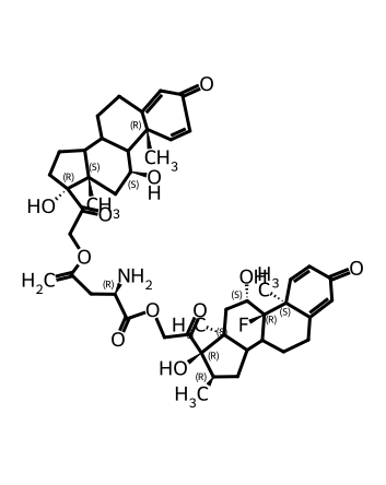 C=C(C[C@@H](N)C(=O)OCC(=O)[C@@]1(O)[C@H](C)CC2C3CCC4=CC(=O)C=C[C@]4(C)[C@@]3(F)[C@@H](O)C[C@@]21C)OCC(=O)[C@@]1(O)CCC2C3CCC4=CC(=O)C=C[C@]4(C)C3[C@@H](O)C[C@@]21C